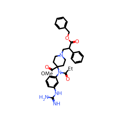 CCC(=O)N(c1cccc(NC(=N)N)c1)C1(C(=O)OC)CCN(CC(C(=O)OCc2ccccc2)c2ccccc2)CC1